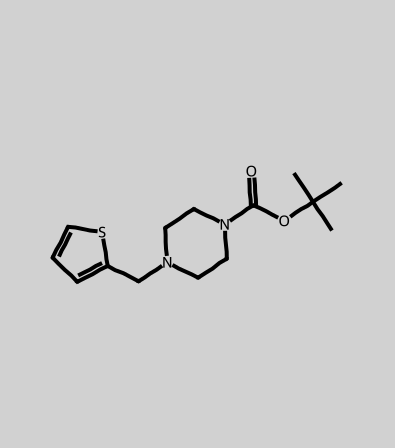 CC(C)(C)OC(=O)N1CCN(Cc2cccs2)CC1